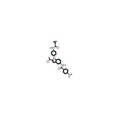 CC(=O)c1cc2cc(NC(=O)c3ccc(N(C)C)cc3)ccc2n1-c1ccc(NC(=O)C2CC2)cc1